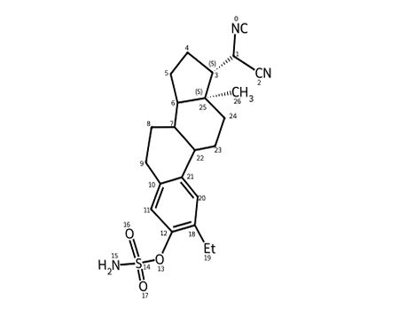 [C-]#[N+]C(C#N)[C@H]1CCC2C3CCc4cc(OS(N)(=O)=O)c(CC)cc4C3CC[C@@]21C